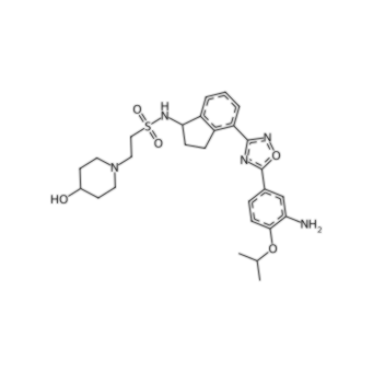 CC(C)Oc1ccc(-c2nc(-c3cccc4c3CCC4NS(=O)(=O)CCN3CCC(O)CC3)no2)cc1N